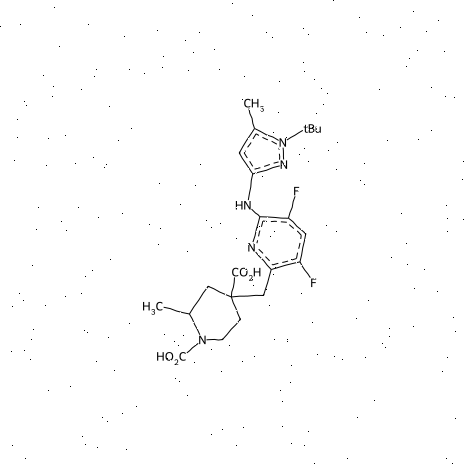 Cc1cc(Nc2nc(CC3(C(=O)O)CCN(C(=O)O)C(C)C3)c(F)cc2F)nn1C(C)(C)C